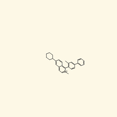 Cc1cc(-c2ccccc2)ccc1-c1c2ccc(C3CCCCC3)cc2cc[n+]1C